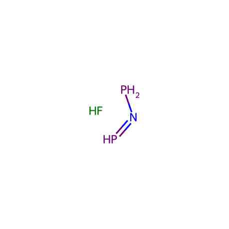 F.P=NP